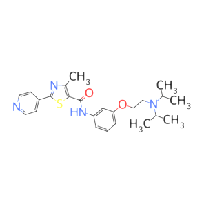 Cc1nc(-c2ccncc2)sc1C(=O)Nc1cccc(OCCN(C(C)C)C(C)C)c1